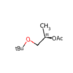 CC(=O)O[C@H](C)COC(C)(C)C